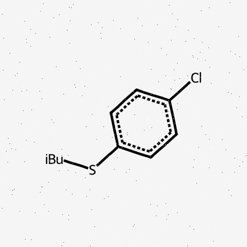 CCC(C)Sc1ccc(Cl)cc1